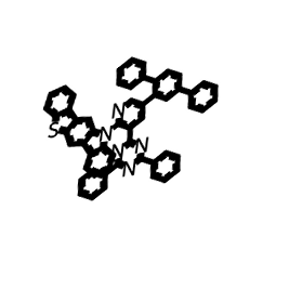 c1ccc(-c2ccc(-c3ccccc3)c(-c3cnc(-n4c5ccccc5c5cc6sc7ccccc7c6cc54)c(-c4nc(-c5ccccc5)nc(-c5ccccc5)n4)c3)c2)cc1